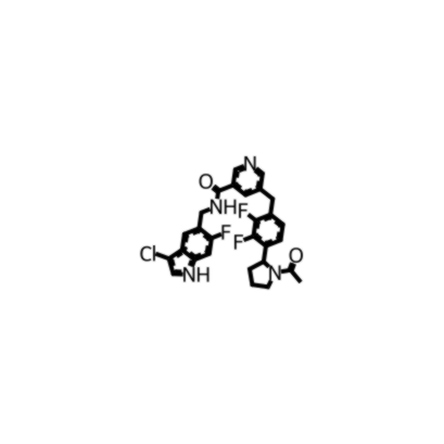 CC(=O)N1CCCC1c1ccc(Cc2cncc(C(=O)NCc3cc4c(Cl)c[nH]c4cc3F)c2)c(F)c1F